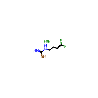 Br.N=C(S)NCCC=C(F)F